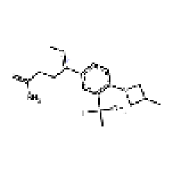 C=C(N)CC/C(=N\C)c1ccc(N2CC(C)C2)c(C(C)(N)F)c1